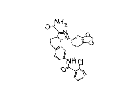 NC(=O)c1nn(-c2ccc3c(c2)OCO3)c2c1CCc1ccc(NC(=O)c3cccnc3Cl)cc1-2